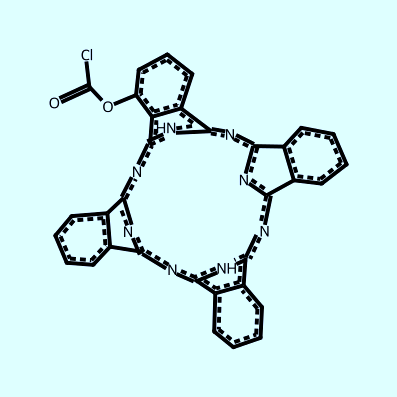 O=C(Cl)Oc1cccc2c3nc4nc(nc5[nH]c(nc6nc(nc([nH]3)c12)-c1ccccc1-6)c1ccccc51)-c1ccccc1-4